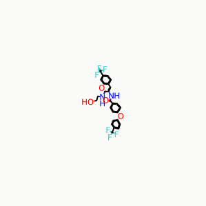 O=C(NCCO)/C(=C\c1ccc(C(F)(F)F)cc1)NC(=O)c1ccc(Oc2ccc(C(F)(F)F)cc2)cc1